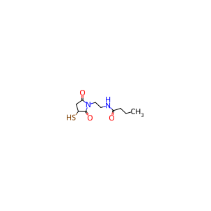 CCCC(=O)NCCN1C(=O)CC(S)C1=O